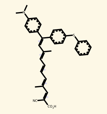 CC(/C=C(\c1ccc(Sc2ccccc2)cc1)c1ccc(N(C)C)cc1)=C\C=C\C=C(C)\C=C(/C#N)C(=O)O